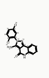 Nc1c2c(=O)[nH]c3ccccc3c2nn1-c1cc(Cl)ccc1Cl